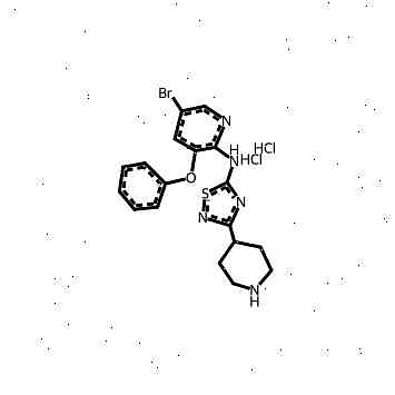 Brc1cnc(Nc2nc(C3CCNCC3)ns2)c(Oc2ccccc2)c1.Cl.Cl